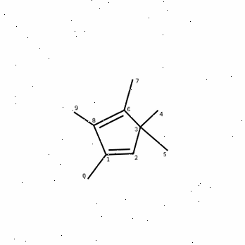 CC1=CC(C)(C)C(C)=C1C